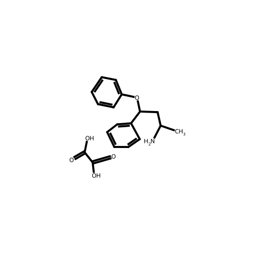 CC(N)CC(Oc1ccccc1)c1ccccc1.O=C(O)C(=O)O